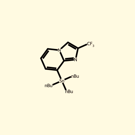 CCC[CH2][Sn]([CH2]CCC)([CH2]CCC)[c]1cccn2cc(C(F)(F)F)nc12